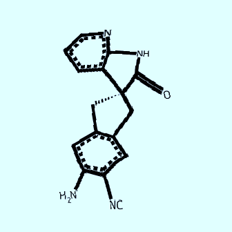 [C-]#[N+]c1cc2c(cc1N)C[C@@]1(C2)C(=O)Nc2ncccc21